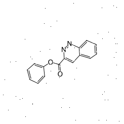 O=C(Oc1ccccc1)c1cc2ccccc2nn1